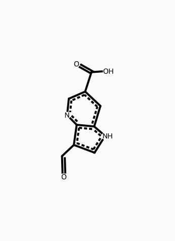 O=Cc1c[nH]c2cc(C(=O)O)cnc12